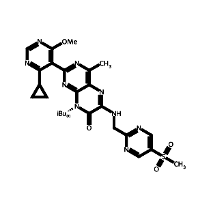 CC[C@@H](C)n1c(=O)c(NCc2ncc(S(C)(=O)=O)cn2)nc2c(C)nc(-c3c(OC)ncnc3C3CC3)nc21